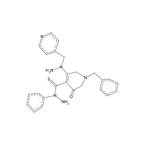 NN(Cc1ccncc1)C1=C(C(=S)N(N)c2ccccc2)C(=O)CN(Cc2ccccc2)C1